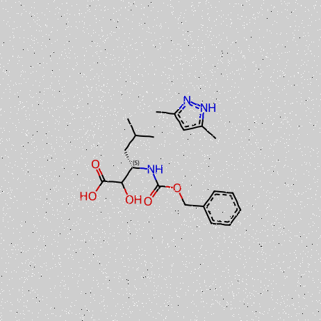 CC(C)C[C@H](NC(=O)OCc1ccccc1)C(O)C(=O)O.Cc1cc(C)[nH]n1